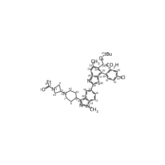 CCC(=O)N1CC(N2CCC(c3nn(C)c4ccc(-c5nc6cc(C)c([C@H](OC(C)(C)C)C(=O)O)c(-c7ccc(Cl)cc7)c6s5)cc34)CC2)C1